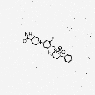 NC(=O)C1CCN(c2ccc(CN3[C@@H](I)CCC(c4ccccc4)S3(=O)=O)c(F)c2)CC1